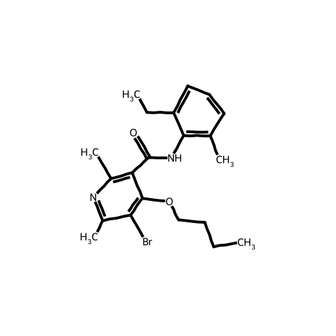 CCCCOc1c(Br)c(C)nc(C)c1C(=O)Nc1c(C)cccc1CC